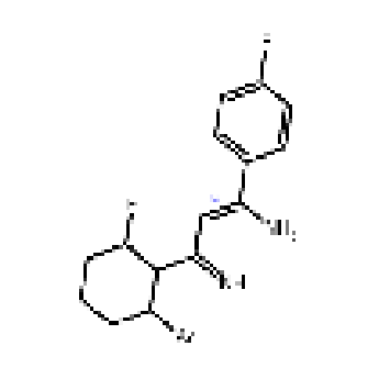 CC(=O)C1CCCC(F)C1C(=N)/C=C(\N)c1ccc(F)cc1